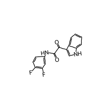 O=C(Nc1ccc(F)c(F)c1)C(=O)c1c[nH]c2ccccc12